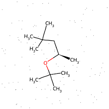 C[C@H](CC(C)(C)C)OC(C)(C)C